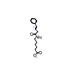 COC(=O)CCCCCNC(=O)C/C=C/c1ccccc1